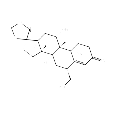 C[C@]12CCC(=O)C=C1[C@@H](CO)C[C@@H]1[C@@H]2[C@@H](O)C[C@@]2(C)[C@H]1CC[C@@]21OCOC12COCO2